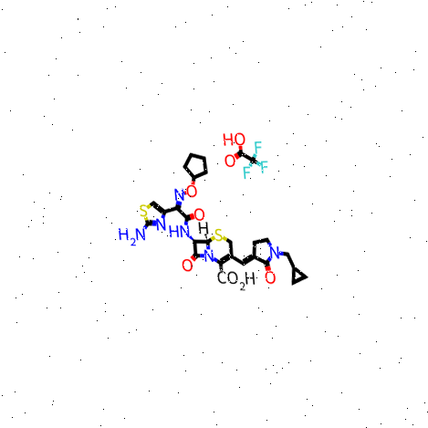 Nc1nc(/C(=N/OC2CCCC2)C(=O)N[C@@H]2C(=O)N3C(C(=O)O)=C(/C=C4\CCN(CC5CC5)C4=O)CS[C@H]23)cs1.O=C(O)C(F)(F)F